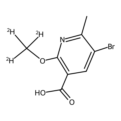 [2H]C([2H])([2H])Oc1nc(C)c(Br)cc1C(=O)O